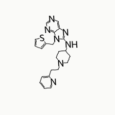 c1ccc(CCN2CCC(Nc3nc4cncnc4n3Cc3cccs3)CC2)nc1